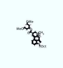 CCCCCCCCn1cc2c3c(cccc31)C1=C[C@@H](C(=O)OC(CCOC)CCOC)CN(C)[C@@H]1C2